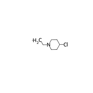 [CH2]CN1CCC(Cl)CC1